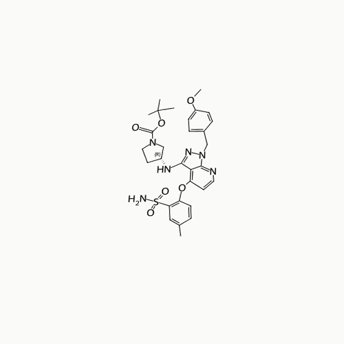 COc1ccc(Cn2nc(N[C@@H]3CCN(C(=O)OC(C)(C)C)C3)c3c(Oc4ccc(C)cc4S(N)(=O)=O)ccnc32)cc1